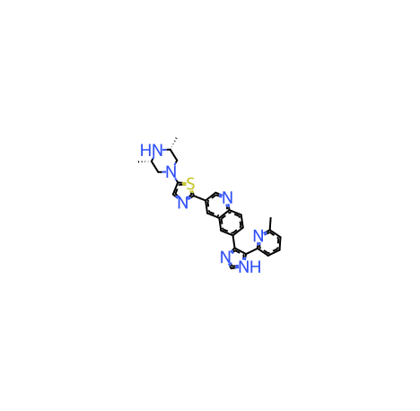 Cc1cccc(-c2[nH]cnc2-c2ccc3ncc(-c4ncc(N5C[C@@H](C)N[C@@H](C)C5)s4)cc3c2)n1